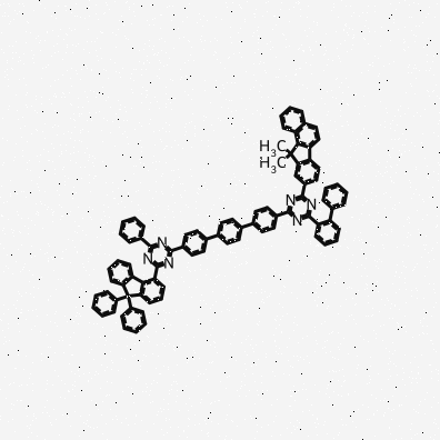 CC1(C)c2cc(-c3nc(-c4ccc(-c5ccc(-c6ccc(-c7nc(-c8ccccc8)nc(-c8cccc9c8-c8ccccc8C9(c8ccccc8)c8ccccc8)n7)cc6)cc5)cc4)nc(-c4ccccc4-c4ccccc4)n3)ccc2-c2ccc3ccccc3c21